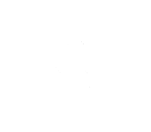 CC1CNCCN1Cc1ccc(Cl)cc1-c1ncnc2cc(CN3C(=O)C4CC4C3=O)sc12